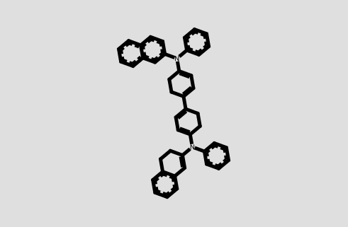 C1=C(C2=CC=C(N(c3ccccc3)c3ccc4ccccc4c3)CC2)CCC(N(C2=Cc3ccccc3CC2)c2ccccc2)=C1